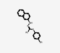 CC(=O)C(=NNc1ccc2ccccc2c1)Sc1ccc(C(C)C)cc1